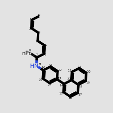 C/C=C\CC/C=C\C(CCC)Nc1ccc(-c2cccc3ccccc23)cc1